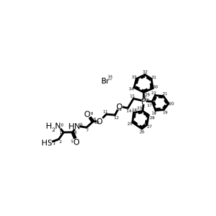 NC(CS)C(=O)NCC(=O)OCCOCC[P+](c1ccccc1)(c1ccccc1)c1ccccc1.[Br-]